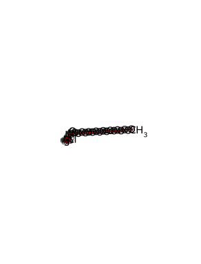 COCCOCCOCCOCCOCCOCCOCCOCCOCCOCCOCCOCCOCCOCCOCCOCCOCC(=O)N1CCN(CCCN2c3ccccc3Sc3ccc(Cl)cc32)CC1